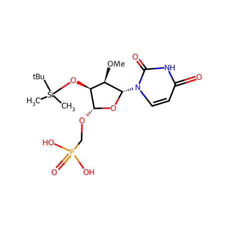 CO[C@@H]1[C@H](O[Si](C)(C)C(C)(C)C)[C@@H](OCP(=O)(O)O)O[C@H]1n1ccc(=O)[nH]c1=O